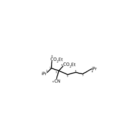 CCOC(=O)C(C(C)C)C(C#N)(CCCC(C)C)C(=O)OCC